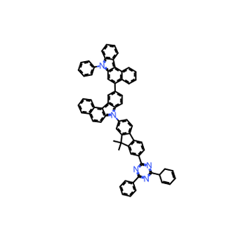 CC1(C)c2cc(-c3nc(-c4ccccc4)nc(C4C=CC=CC4)n3)ccc2-c2ccc(-n3c4ccc(-c5cc6c(c7ccccc57)c5ccccc5n6-c5ccccc5)cc4c4c5ccccc5ccc43)cc21